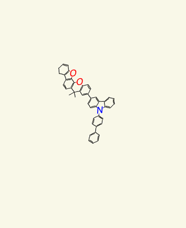 CC1(C)c2cc(-c3ccc4c(c3)c3ccccc3n4-c3ccc(-c4ccccc4)cc3)ccc2Oc2c1ccc1c3c(oc21)C=CCC3